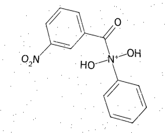 O=C(c1cccc([N+](=O)[O-])c1)[N+](O)(O)c1ccccc1